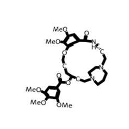 COc1cc(C(=O)OC2CCCOc3cc(cc(OC)c3OC)C(=O)NCCCN3CCCN(CC2)CC3)cc(OC)c1OC